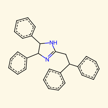 c1ccc(C(CC2=NC(c3ccccc3)C(c3ccccc3)N2)c2ccccc2)cc1